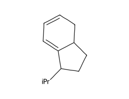 CC(C)C1CCC2CC=CC=C21